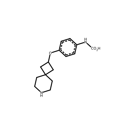 O=C(O)Nc1ccc(OC2CC3(CCNCC3)C2)cc1